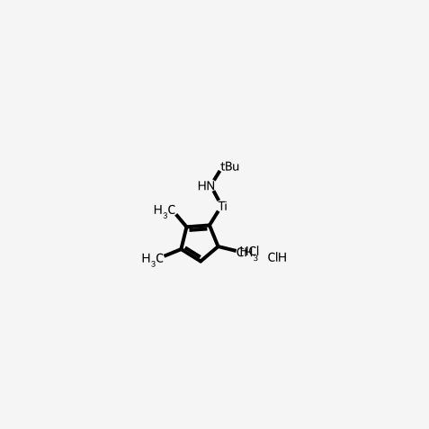 CC1=CC(C)[C]([Ti][NH]C(C)(C)C)=C1C.Cl.Cl